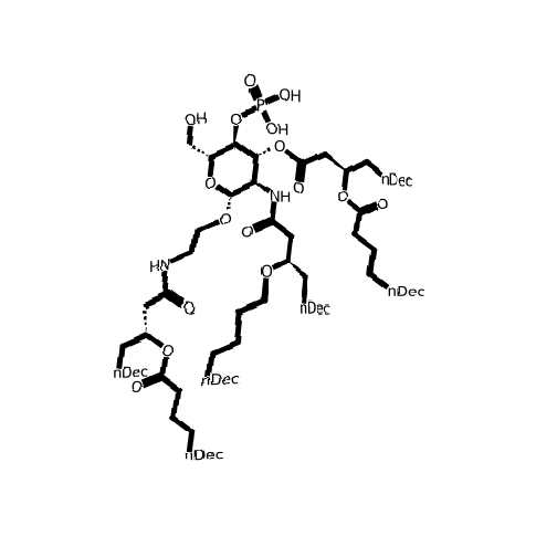 CCCCCCCCCCCCCCO[C@H](CCCCCCCCCCC)CC(=O)N[C@H]1[C@H](OCCNC(=O)C[C@@H](CCCCCCCCCCC)OC(=O)CCCCCCCCCCCCC)O[C@H](CO)[C@@H](OP(=O)(O)O)[C@@H]1OC(=O)C[C@@H](CCCCCCCCCCC)OC(=O)CCCCCCCCCCCCC